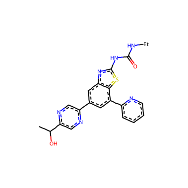 CCNC(=O)Nc1nc2cc(-c3cnc(C(C)O)cn3)cc(-c3ccccn3)c2s1